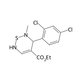 CCOC(=O)C1=CNSN(C)C1c1ccc(Cl)cc1Cl